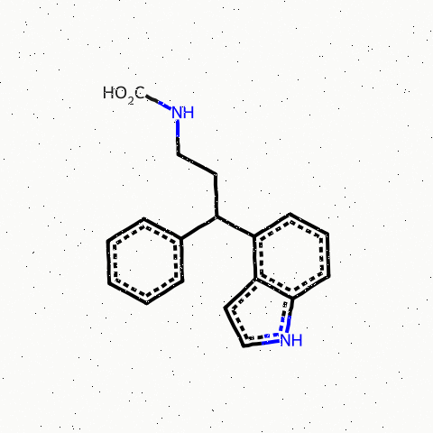 O=C(O)NCCC(c1ccccc1)c1cccc2[nH]ccc12